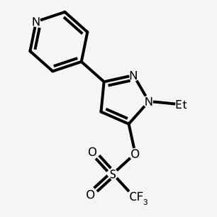 CCn1nc(-c2ccncc2)cc1OS(=O)(=O)C(F)(F)F